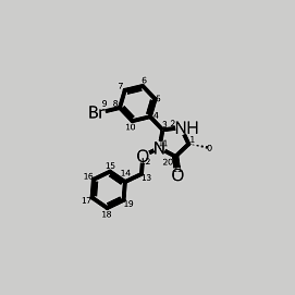 C[C@H]1NC(c2cccc(Br)c2)N(OCc2ccccc2)C1=O